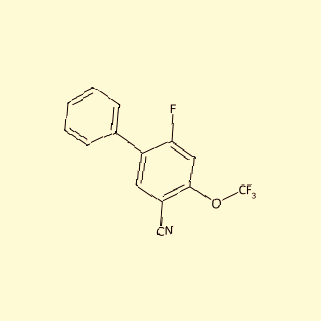 N#Cc1cc(-c2ccccc2)c(F)cc1OC(F)(F)F